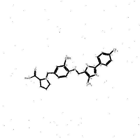 COC(=O)C1CCCN1Cc1ccc(SCc2sc(-c3ccc(C(F)(F)F)cc3)nc2C)c(OC)c1